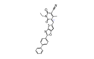 CCN1C(=O)C(C#N)=C(C)/C(=C/c2cc3oc(-c4ccc(-c5ccccc5)cc4)nc3s2)C1=O